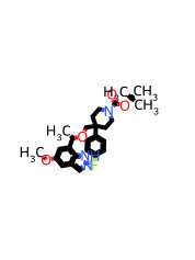 COc1cc(C(C)OCC2(c3ccc(F)cc3)CCN(C(=O)OC(C)(C)C)CC2)c2[nH]ncc2c1